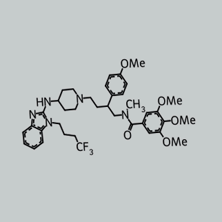 COc1ccc(C(CCN2CCC(Nc3nc4ccccc4n3CCCC(F)(F)F)CC2)CN(C)C(=O)c2cc(OC)c(OC)c(OC)c2)cc1